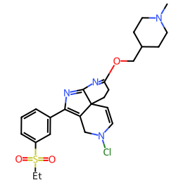 CCS(=O)(=O)c1cccc(C2=C3CN(Cl)C=CC34CCC(OCC3CCN(C)CC3)=NC4=N2)c1